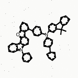 CC1(C)c2ccccc2-c2ccc(N(c3ccc(-c4ccccc4)cc3)c3ccc(-c4cccc5oc6c(ccc7c6c6ccccc6n7-c6ccccc6)c45)cc3)cc21